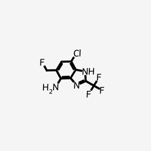 Nc1c(CF)cc(Cl)c2[nH]c(C(F)(F)F)nc12